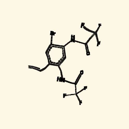 C=Cc1cc(Br)c(NC(=O)C(F)(F)F)cc1NC(=O)C(F)(F)F